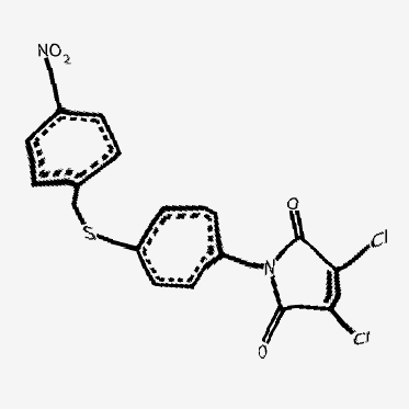 O=C1C(Cl)=C(Cl)C(=O)N1c1ccc(Sc2ccc([N+](=O)[O-])cc2)cc1